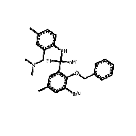 CCCC(CC)(Pc1ccc(C)cc1CN(C)C)c1cc(C)cc(C(C)(C)C)c1OCc1ccccc1